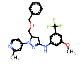 COc1cc(NC2=NN(c3ccnc(C)c3)C(COCc3ccccc3)C2)cc(C(F)(F)F)c1